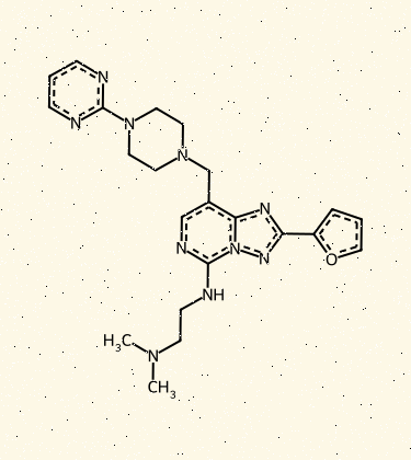 CN(C)CCNc1ncc(CN2CCN(c3ncccn3)CC2)c2nc(-c3ccco3)nn12